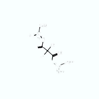 CCC[CH2][SnH]([CH2]CCC)[O]C(=O)C(CC)(CC)C(=O)[O][SnH]([CH2]CCC)[CH2]CCC